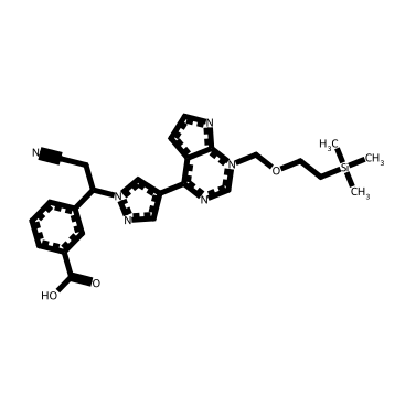 C[Si](C)(C)CCOCn1cnc(-c2cnn(C(CC#N)c3cccc(C(=O)O)c3)c2)c2ccnc1-2